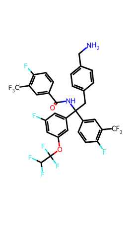 NCc1ccc(CC(NC(=O)c2ccc(F)c(C(F)(F)F)c2)(c2cc(F)cc(OC(F)(F)C(F)F)c2)c2ccc(F)c(C(F)(F)F)c2)cc1